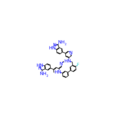 C=N/C=C(\C=C(/C)c1ccc2[nH]nc(N)c2c1)Nc1cccc(-c2ccc(F)c(CNc3cncc(-c4ccc5[nH]nc(N)c5c4)c3)c2)c1